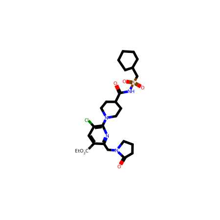 CCOC(=O)c1cc(Cl)c(N2CCC(C(=O)NS(=O)(=O)CC3CCCCC3)CC2)nc1CN1CCCC1=O